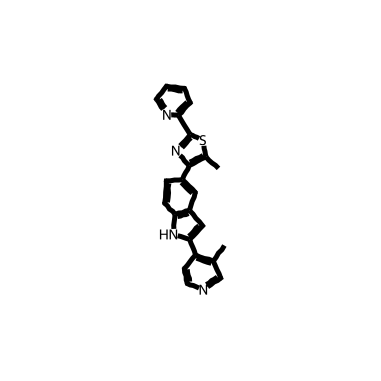 Cc1cnccc1-c1cc2cc(-c3nc(-c4ccccn4)sc3C)ccc2[nH]1